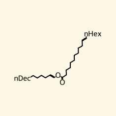 CCCCCCC=CCCCCCCCCCC(=O)OC=CCCCCCCCCCCCCCC